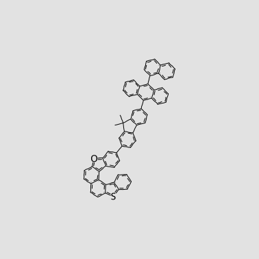 CC1(C)c2cc(-c3ccc4c(c3)oc3ccc5ccc6sc7ccccc7c6c5c34)ccc2-c2ccc(-c3c4ccccc4c(-c4cccc5ccccc45)c4ccccc34)cc21